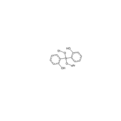 CCCO[Si](OCC)(c1ccccc1O)c1ccccc1O